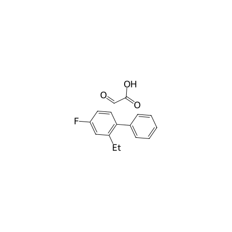 CCc1cc(F)ccc1-c1ccccc1.O=CC(=O)O